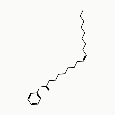 CCCCCCCC/C=C\CCCCCCCC(=O)Oc1ccccc1